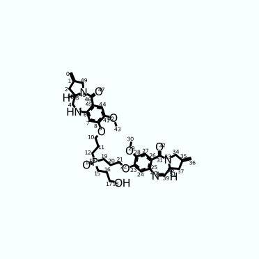 C=C1C[C@H]2CNc3cc(OCCCP(=O)(CCCO)CCCOc4cc5c(cc4OC)C(=O)N4CC(=C)C[C@H]4C=N5)c(OC)cc3C(=O)N2C1